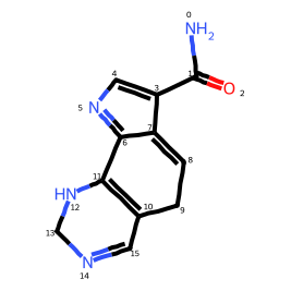 NC(=O)C1=CN=C2C1=CCC1=C2NCN=C1